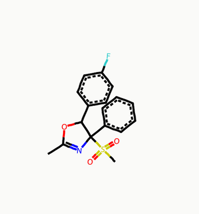 CC1=NC(c2ccccc2)(S(C)(=O)=O)C(c2ccc(F)cc2)O1